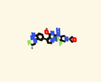 COc1nc(N[C@@H]2CN(C3COC3)CC2(F)F)nn2ccc(-c3ccc4nnn(C[C@H](C)F)c4c3)c12